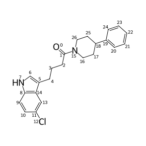 O=C(CCCc1c[nH]c2ccc(Cl)cc12)N1CCC(c2ccccc2)CC1